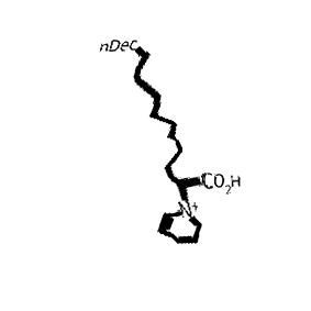 CCCCCCCCCCCCCCCCCCC(C(=O)O)[n+]1ccccc1